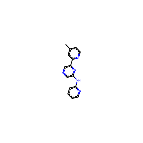 Cc1ccnc(-c2cncc(Nc3ccccn3)n2)c1